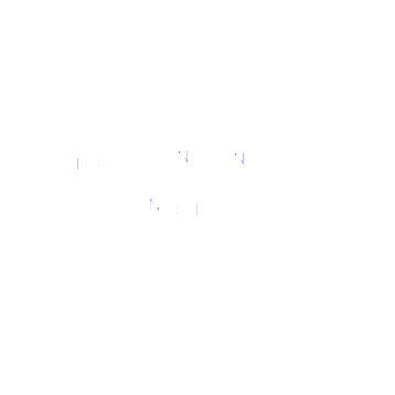 Cc1cc(-c2ccccc2)n(C)c1CN1CCN(C(c2ccccc2)c2ccccc2)CC1